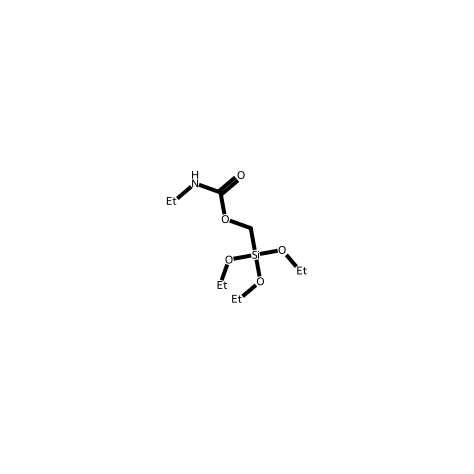 CCNC(=O)OC[Si](OCC)(OCC)OCC